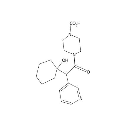 O=C(O)N1CCN(C(=O)C(c2cccnc2)C2(O)CCCCC2)CC1